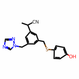 CC(C#N)c1cc(CSc2ccc(O)cc2)cc(Cn2cncn2)c1